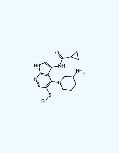 CCSc1cnc2[nH]cc(NC(=O)C3CC3)c2c1N1CCCC(N)C1